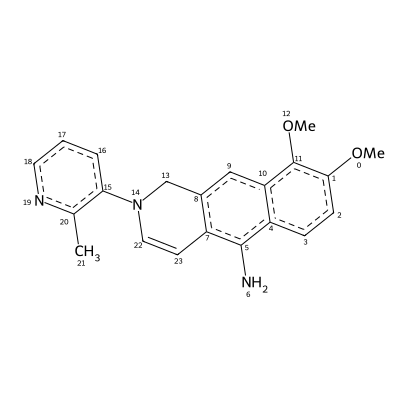 COc1ccc2c(N)c3c(cc2c1OC)CN(c1cccnc1C)C=C3